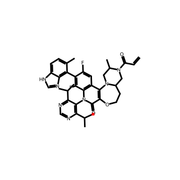 C=CC(=O)N1CC2CCOc3c(c4cc(F)c(-c5c(C)ccc6[nH]cnc56)c(F)c4n(-c4c(C(C)C)ncnc4C(C)C)c3=O)N2CC1C